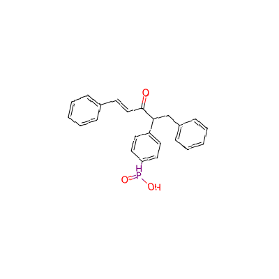 O=C(C=Cc1ccccc1)C(Cc1ccccc1)c1ccc([PH](=O)O)cc1